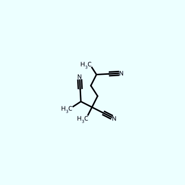 CC(C#N)CCC(C)(C#N)C(C)C#N